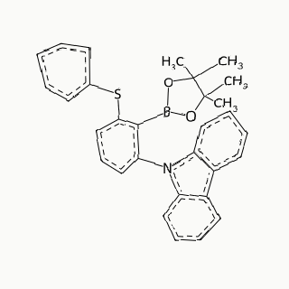 CC1(C)OB(c2c(Sc3ccccc3)cccc2-n2c3ccccc3c3ccccc32)OC1(C)C